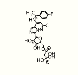 C[C@H](Nc1cc(Cl)nn2c([C@@H]3O[C@H](COP(=O)(O)CP(=O)(O)O)[C@@H](O)[C@H]3O)ncc12)c1ccc(F)cc1